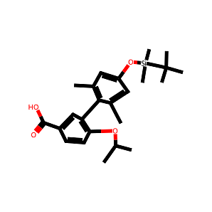 Cc1cc(O[Si](C)(C)C(C)(C)C)cc(C)c1-c1cc(C(=O)O)ccc1OC(C)C